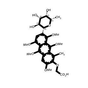 COc1cc2c(OC)c3c(OC)cc([C@H]4O[C@@H](C)[C@@H](O)[C@@H](O)[C@@H]4O)c(OC)c3c(OC)c2c(C)c1OCC(=O)O